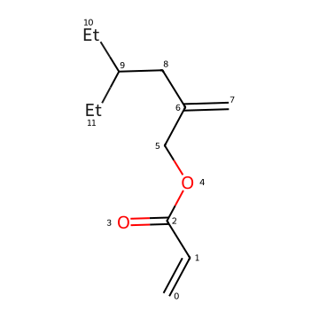 C=CC(=O)OCC(=C)CC(CC)CC